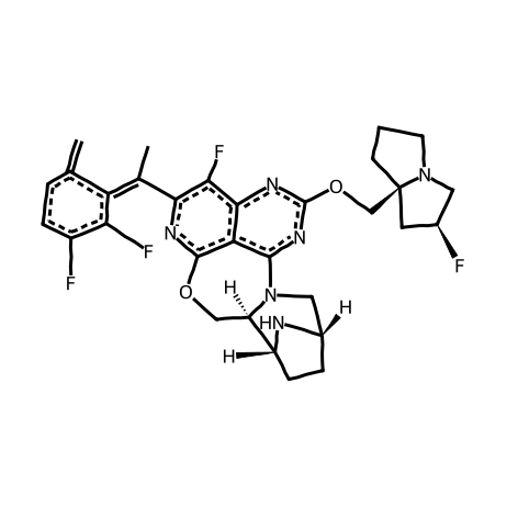 C=c1ccc(F)c(F)/c1=C(/C)c1nc2c3c(nc(OC[C@@]45CCCN4C[C@@H](F)C5)nc3c1F)N1C[C@@H]3CC[C@@H](N3)[C@H]1CO2